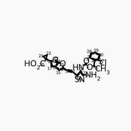 CC(OC(=O)Nc1c(N)nsc1C#Cc1cc2cc(C3(C(=O)O)CC3)oc2o1)c1ccccc1Cl